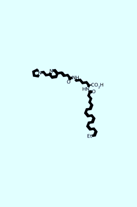 CC/C=C\C/C=C\C/C=C\C/C=C\C/C=C\CCCC(=O)N[C@@H](CCCCNC(=O)C/C=C/c1ccc(CCN2CCCC2)nc1)C(=O)O